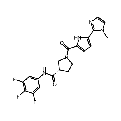 Cn1ccnc1-c1ccc(C(=O)N2CC[C@H](C(=O)Nc3cc(F)c(F)c(F)c3)C2)[nH]1